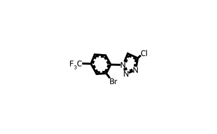 FC(F)(F)c1ccc(-n2cc(Cl)nn2)c(Br)c1